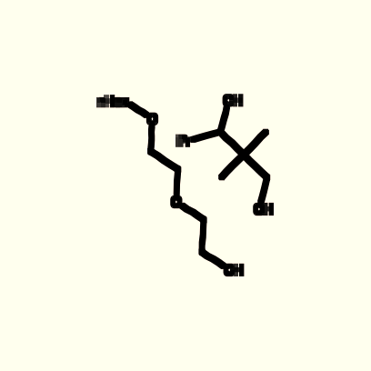 CC(C)C(O)C(C)(C)CO.CCCCCCOCCOCCO